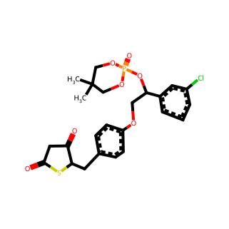 CC1(C)COP(=O)(OC(COc2ccc(CC3SC(=O)CC3=O)cc2)c2cccc(Cl)c2)OC1